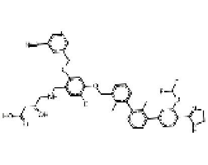 Cc1c(COc2cc(OCc3cncc(C#N)c3)c(CNC[C@@H](O)CC(=O)O)cc2Cl)cccc1-c1cccc(-c2ccc(C3=NCCN3)c(OC(F)F)c2)c1C